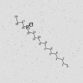 CCCCCCCCCCCCCCP(Cl)CCCC